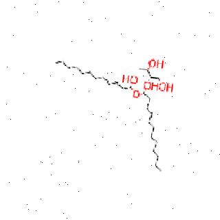 CC(O)CCO.CCCCCCCCCCCC(O)OC(O)CCCCCCCCCCC